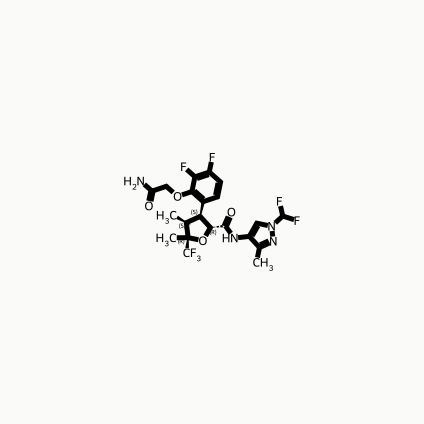 Cc1nn(C(F)F)cc1NC(=O)[C@@H]1O[C@@](C)(C(F)(F)F)[C@@H](C)[C@H]1c1ccc(F)c(F)c1OCC(N)=O